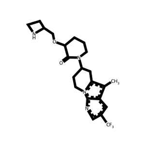 Cc1c2n(c3ncc(C(F)(F)F)cc13)CCC(N1CCCC(OCC3CCN3)C1=O)C2